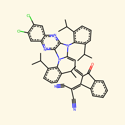 CC(C)c1cccc(C(C)C)c1N1C(=C/C=C2\C(=O)c3ccccc3C2=C(C#N)C#N)N(c2c(C(C)C)cccc2C(C)C)c2nc3cc(Cl)c(Cl)cc3nc21